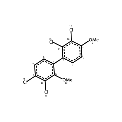 COc1ccc(-c2ccc(Cl)c(Cl)c2OC)c(Cl)c1Cl